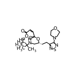 CPOC(=O)/C=C\C(=O)O[C@H](CCc1nsnc1N1CCOCC1)CNC(C)(C)C